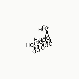 O=CO.O=CO.O=CO.O=CO.O=CO.O=CO.[Co]